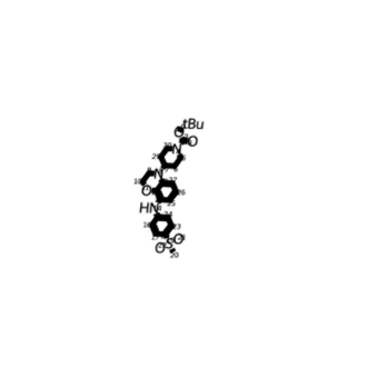 CC(C)(C)OC(=O)N1CCC(N2CCOc3c(Nc4ccc(S(C)(=O)=O)cc4)cccc32)CC1